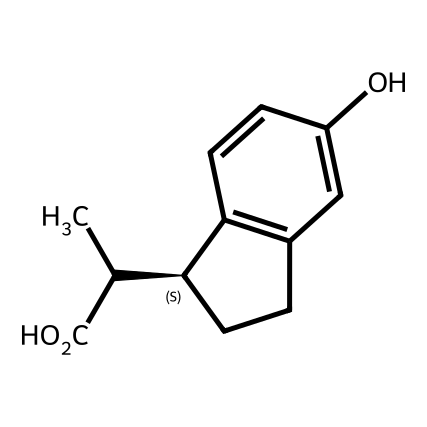 CC(C(=O)O)[C@@H]1CCc2cc(O)ccc21